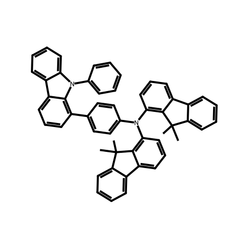 CC1(C)c2ccccc2-c2cccc(N(c3ccc(-c4cccc5c6ccccc6n(-c6ccccc6)c45)cc3)c3cccc4c3C(C)(C)c3ccccc3-4)c21